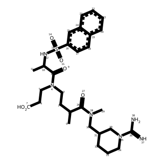 CC(CCN(CCC(=O)O)C(=O)C(C)NS(=O)(=O)c1ccc2ccccc2c1)C(=O)N(C)CC1CCCN(C(=N)N)C1